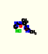 CNCc1nc(-c2ccc(C)c(NC(=O)c3cnc4ccccn34)c2)no1.Cl